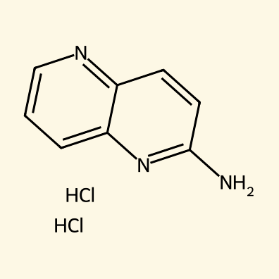 Cl.Cl.Nc1ccc2ncccc2n1